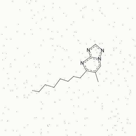 CCCCCCCCc1nc2ncnn2cc1C